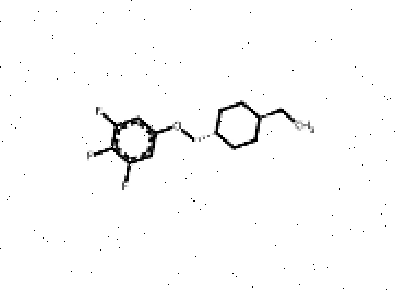 CC[C@H]1CC[C@H](COc2cc(F)c(F)c(F)c2)CC1